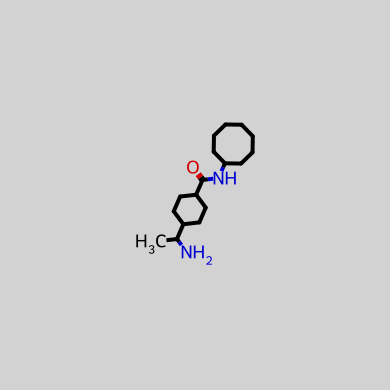 CC(N)C1CCC(C(=O)NC2CCCCCCC2)CC1